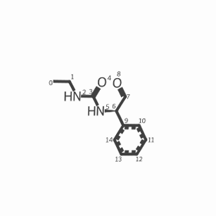 CCNC(=O)N[C@@H](C=O)c1ccccc1